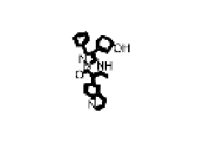 Cc1[nH]c2c(C3=CC(O)CCC3)c(-c3ccccc3)nn2c(=O)c1-c1ccc2ncccc2c1